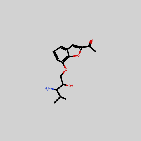 CC(=O)c1cc2cccc(OCC(O)C(N)C(C)C)c2o1